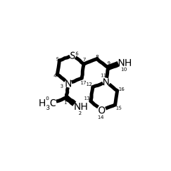 CC(=N)N1CCSC(CC(=N)N2CCOCC2)C1